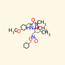 CNC(=O)[C@H](Cc1ccc(OC)cc1)NC(=O)C(CC(C)C)CN(C=O)OCc1ccccc1